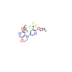 COc1cc2c(cn1)OCCN2c1cnc(OC)c(C(F)(F)F)c1